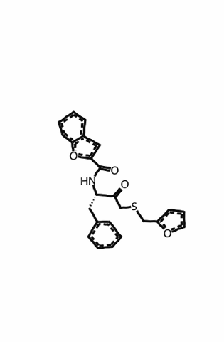 O=C(N[C@@H](Cc1ccccc1)C(=O)CSCc1ccco1)c1cc2ccccc2o1